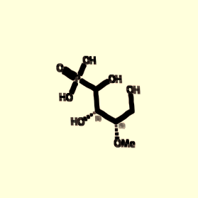 CO[C@@H](CO)[C@H](O)C(O)P(=O)(O)O